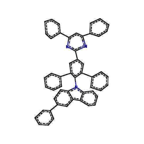 c1ccc(-c2ccc3c(c2)c2ccccc2n3-c2c(-c3ccccc3)cc(-c3nc(-c4ccccc4)cc(-c4ccccc4)n3)cc2-c2ccccc2)cc1